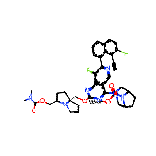 C#Cc1c(F)ccc2cccc(-c3ncc4c(N5CC6CCC(C5)N6C(=O)OC(C)(C)C)nc(OC[C@]56CCCN5[C@@H](COC(=O)N(C)C)CC6)nc4c3F)c12